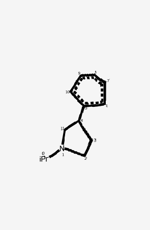 CC(C)N1CCC(c2ccccc2)C1